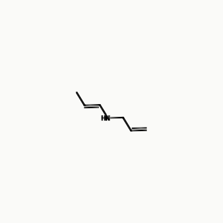 C=CCNC=CC